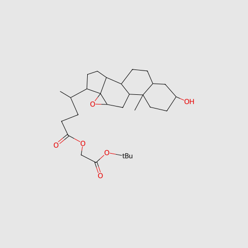 CC(CCC(=O)OCC(=O)OC(C)(C)C)C1CCC2C3CCC4CC(O)CCC4(C)C3CC3OC312